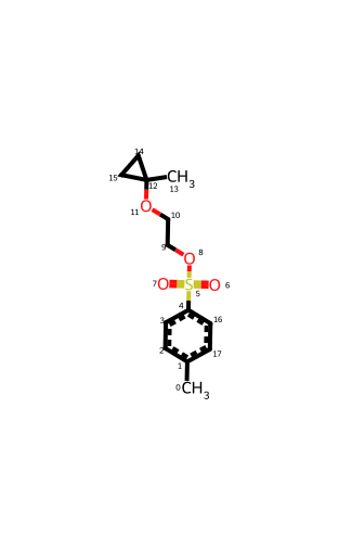 Cc1ccc(S(=O)(=O)OCCOC2(C)CC2)cc1